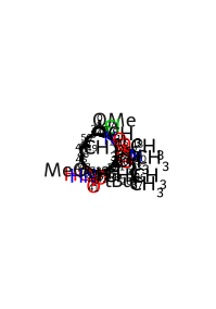 COc1cc2cc(c1Cl)N(C)C(=O)C[C@H](OC(=O)[C@H](C)N(C)C(=O)CCC(C)(C)C(C)(C)C)[C@@]1(C)C[C@H]1[C@H](C)[C@@H]1C[C@@](O)(NC(=O)O1)[C@H](OC)/C=C/C=C(\C)C2